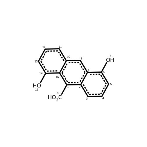 O=C(O)c1c2cccc(O)c2cc2cccc(O)c12